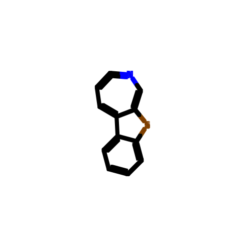 C1=CC=c2c(sc3ccccc23)=CN=1